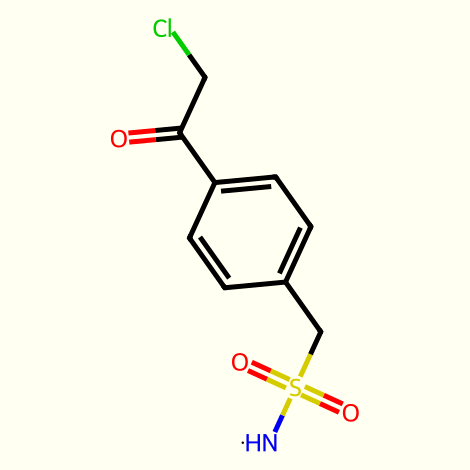 [NH]S(=O)(=O)Cc1ccc(C(=O)CCl)cc1